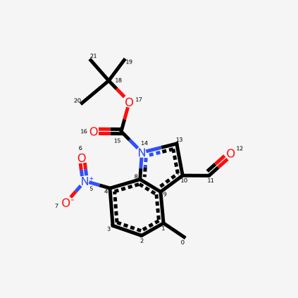 Cc1ccc([N+](=O)[O-])c2c1c(C=O)cn2C(=O)OC(C)(C)C